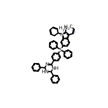 C/C=C\c1c(N)n(C2C=CC=CC2)c2cc(S(c3ccccc3)(c3ccccc3)c3ccc(C4=NC(c5ccccc5)NC(c5ccccc5)N4)cc3)ccc12